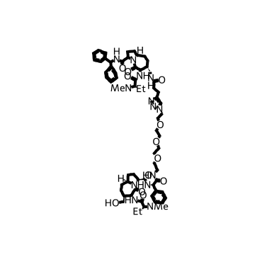 CC[C@H](NC)C(=O)NC1C(=O)N2C(C(=O)NC(c3ccccc3)c3ccccc3)CC[C@@H]2CC[C@@H]1CNC(=O)CCc1cn(CCOCCOCCOCCNC(=O)[C@@H](NC(=O)[C@@H]2CC[C@@H]3CC[C@H](CO)[C@H](NC(=O)[C@H](CC)NC)C(=O)N32)c2ccccc2)nn1